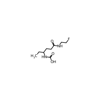 CCC(CCC(=O)NCCF)NC(=O)O